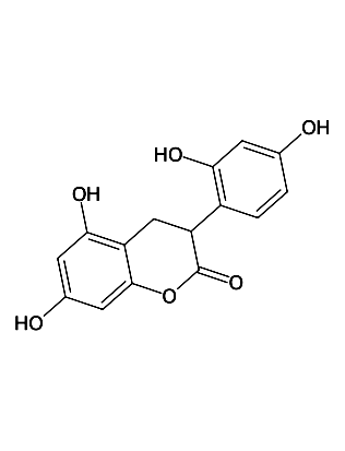 O=C1Oc2cc(O)cc(O)c2CC1c1ccc(O)cc1O